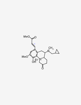 CC[C@@]12CC(=O)CCC1C(N(C)CC1CC1)Cc1c(/C=C/C(=O)OC)cc(OC)c(O)c12